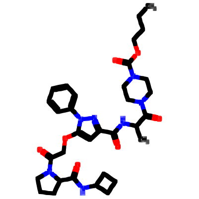 CCCCOC(=O)N1CCN(C(=O)C(C)NC(=O)c2cc(OCC(=O)N3CCCC3C(=O)NC3CCC3)n(-c3ccccc3)n2)CC1